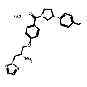 Cl.N[C@@H](COc1ccc(C(=O)N2CC[C@H](c3ccc(F)cc3)C2)cc1)Cn1nccn1